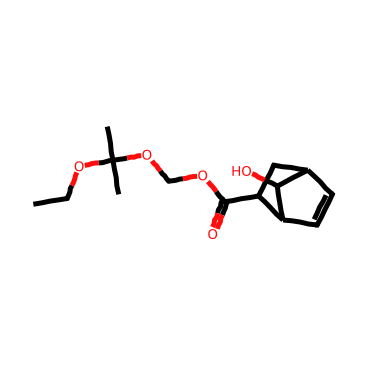 CCOC(C)(C)OCOC(=O)C1CC2C=CC1C2O